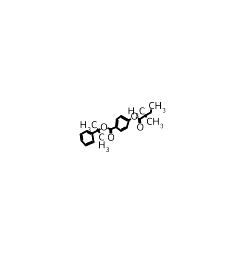 CCC(C)(C)C(=O)Oc1ccc(C(=O)OC(C)(C)c2ccccc2)cc1